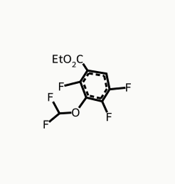 CCOC(=O)c1cc(F)c(F)c(OC(F)F)c1F